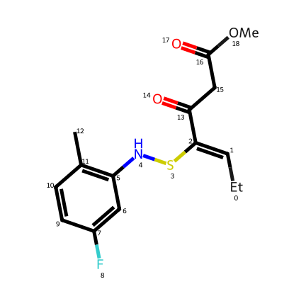 CC/C=C(\SNc1cc(F)ccc1C)C(=O)CC(=O)OC